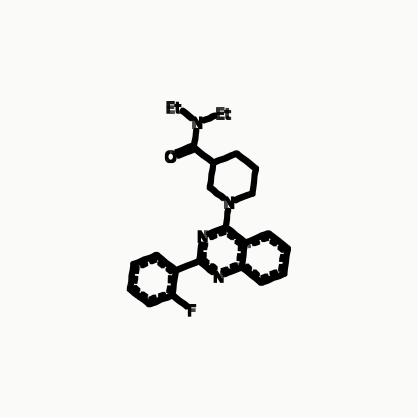 CCN(CC)C(=O)C1CCCN(c2nc(-c3ccccc3F)nc3ccccc23)C1